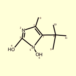 Cc1nc(O)n(O)c1C(C)(C)C